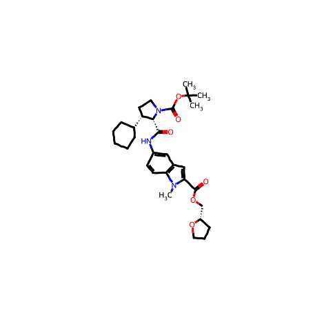 Cn1c(C(=O)OC[C@@H]2CCCO2)cc2cc(NC(=O)[C@@H]3[C@H](C4CCCCC4)CCN3C(=O)OC(C)(C)C)ccc21